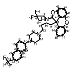 O=C(NCC(F)(F)F)C1(CCCCN2CCN(c3ccc4cc(C(F)(F)F)ccc4n3)CC2)c2ccccc2Oc2ccccc21